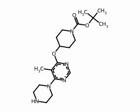 Cc1c(OC2CCN(C(=O)OC(C)(C)C)CC2)ncnc1N1CCNCC1